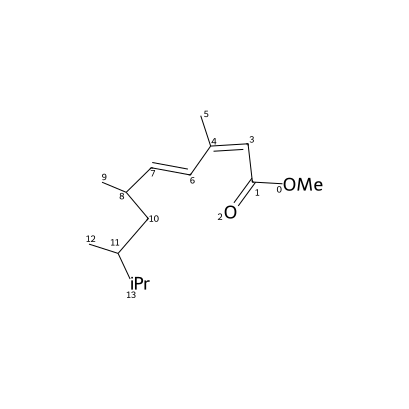 COC(=O)C=C(C)C=CC(C)CC(C)C(C)C